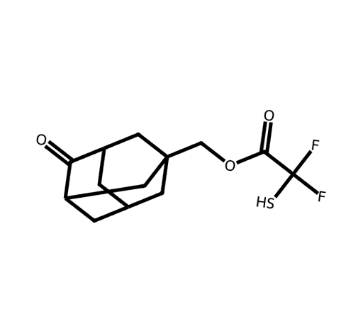 O=C1C2CC3CC1CC(COC(=O)C(F)(F)S)(C3)C2